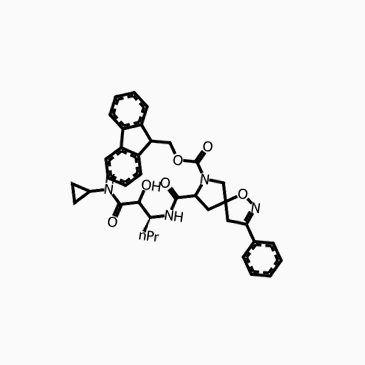 CCC[C@H](NC(=O)C1CC2(CC(c3ccccc3)=NO2)CN1C(=O)OCC1c2ccccc2-c2ccccc21)C(O)C(=O)NC1CC1